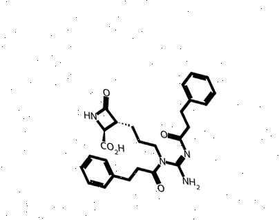 N/C(=N/C(=O)CCc1ccccc1)N(CCC[C@H]1C(=O)N[C@@H]1C(=O)O)C(=O)CCc1ccccc1